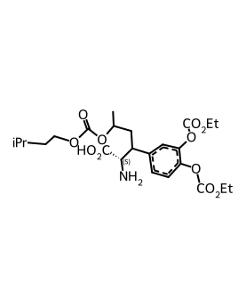 CCOC(=O)Oc1ccc(C(CC(C)OC(=O)OCCC(C)C)[C@H](N)C(=O)O)cc1OC(=O)OCC